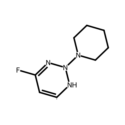 FC1=NN(N2CCCCC2)N[C]=C1